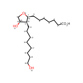 O=C(O)CCCCCC[C@@H]1OC[C@H](O)[C@@H]1CCCCCCCCO